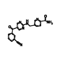 N#Cc1cccc(C(=O)c2cnc(NCc3ccc(C(N)=O)nc3)nc2)c1